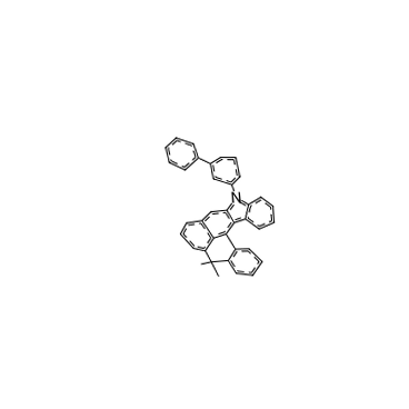 CC1(C)c2ccccc2-c2c3c1cccc3cc1c2c2ccccc2n1-c1cccc(-c2ccccc2)c1